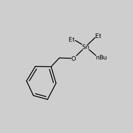 CCC[CH2][Sn]([CH2]C)([CH2]C)[O]Cc1ccccc1